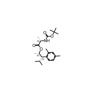 Cc1ccc([C@H](C(C)C)[C@H](C)OC(=O)[C@H](C)NC(=O)OC(C)(C)C)c(C)c1